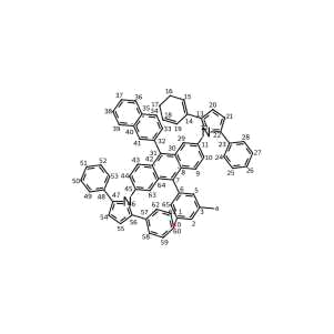 Cc1cc(C)cc(-c2c3ccc(-n4c(C5=CCCC=C5)ccc4-c4ccccc4)cc3c(-c3ccc4ccccc4c3)c3ccc(-n4c(-c5ccccc5)ccc4-c4ccccc4)cc23)c1